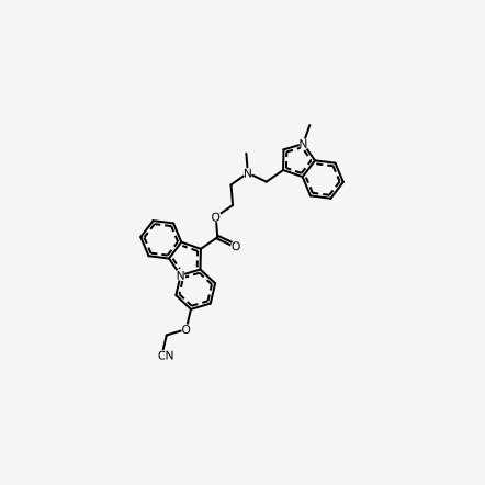 CN(CCOC(=O)c1c2ccccc2n2cc(OCC#N)ccc12)Cc1cn(C)c2ccccc12